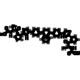 COC(=O)N[C@H](C(=O)N1CCCC1c1ncc(-c2ccc(-c3ccc(-c4ccc(-c5cnc([C@@H]6CCCN6C(=O)[C@@H](NC(=O)OC)C(C)C)[nH]5)cc4)c4c3C3CCC4CC3)cc2)[nH]1)C(C)C